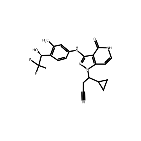 Cc1cc(Nc2nn(C(CC#N)C3CC3)c3cc[nH]c(=O)c23)ccc1[C@H](O)C(F)(F)F